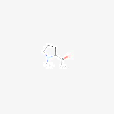 CNC(=O)C1CCCN1C=O